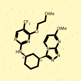 COCCOc1nc(N[C@@H]2CCC[C@H](c3nnc4nc(OC)ccn34)C2)ncc1C(F)(F)F